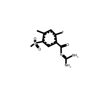 Cc1cc(F)c(C(=O)N=C(N)N)cc1S(C)(=O)=O